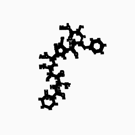 COC(=O)[C@@H](C)C[C@H](Cc1ccccc1)NC(=O)c1nc([C@@H](C[C@H](C(C)C)N(C)C(=O)[C@@H](NC(=O)[C@H]2CCCCN2)C(C)C)OC(C)=O)sc1C